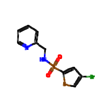 O=S(=O)(NCc1ccccn1)c1cc(Br)cs1